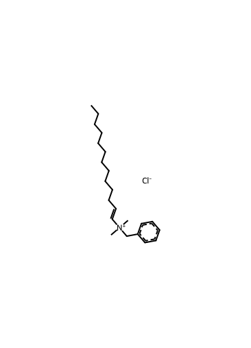 CCCCCCCCCCCC=C[N+](C)(C)Cc1ccccc1.[Cl-]